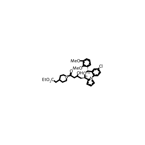 CCOC(=O)CC1CCN(C(=O)CC(O)C[C@H]2O[C@H](c3cccc(OC)c3OC)c3cc(Cl)ccc3-n3cccc32)CC1